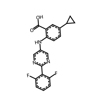 O=C(O)c1cc(C2CC2)ccc1Nc1cnc(-c2c(F)cccc2F)nc1